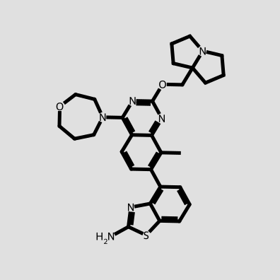 Cc1c(-c2cccc3sc(N)nc23)ccc2c(N3CCCOCC3)nc(OCC34CCCN3CCC4)nc12